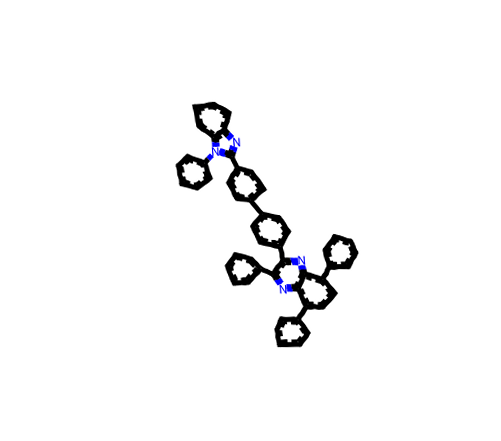 c1ccc(-c2nc3c(-c4ccccc4)ccc(-c4ccccc4)c3nc2-c2ccc(-c3ccc(-c4nc5ccccc5n4-c4ccccc4)cc3)cc2)cc1